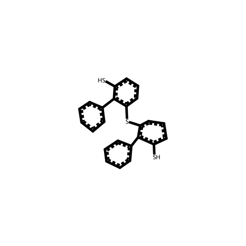 Sc1cccc(Sc2cccc(S)c2-c2ccccc2)c1-c1ccccc1